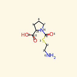 NCCSC(=O)N1CCCC1C(=O)O